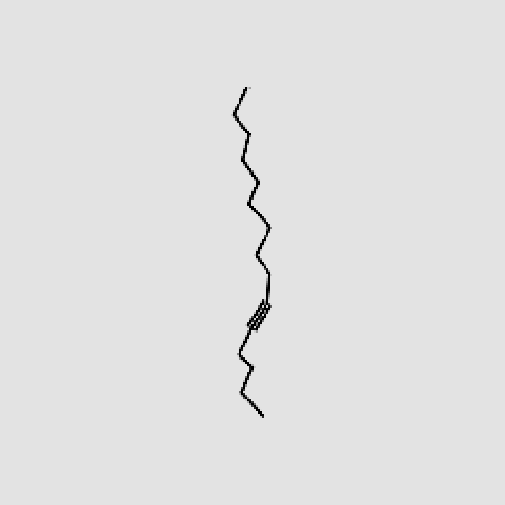 [CH2]CCCC#CCCCCCCCC[CH2]